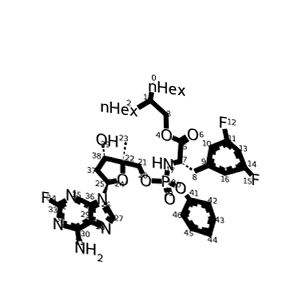 CCCCCCC(CCCCCC)COC(=O)[C@H](Cc1cc(F)cc(F)c1)NP(=O)(OC[C@@]1(C)O[C@@H](n2cnc3c(N)nc(F)nc32)C[C@@H]1O)Oc1ccccc1